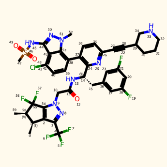 C[C@@H]1c2c(C(F)(F)F)nn(CC(=O)N[C@@H](Cc3cc(F)cc(F)c3)c3nc(C#CC4CCCNC4)ccc3-c3ccc(Cl)c4c(NS(C)(=O)=O)nn(C)c34)c2C(F)(F)[C@@H]1C